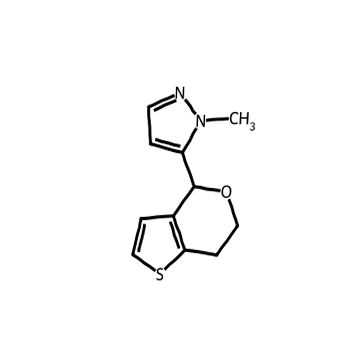 Cn1nccc1C1OCCc2sccc21